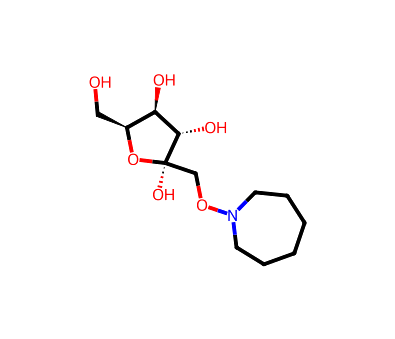 OC[C@@H]1O[C@](O)(CON2CCCCCC2)[C@@H](O)[C@@H]1O